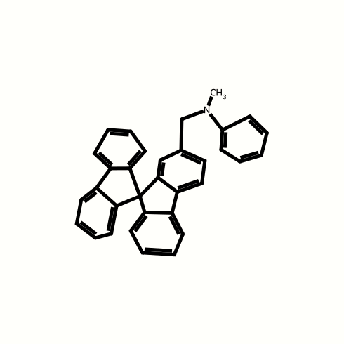 CN(Cc1ccc2c(c1)C1(c3ccccc3-c3ccccc31)c1ccccc1-2)c1ccccc1